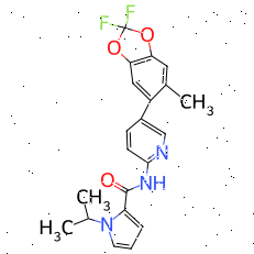 Cc1cc2c(cc1-c1ccc(NC(=O)c3cccn3C(C)C)nc1)OC(F)(F)O2